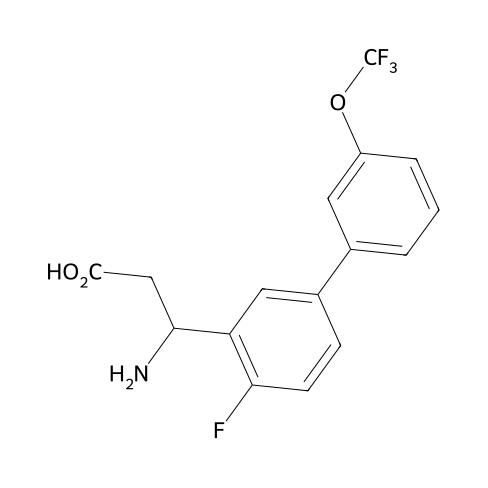 NC(CC(=O)O)c1cc(-c2cccc(OC(F)(F)F)c2)ccc1F